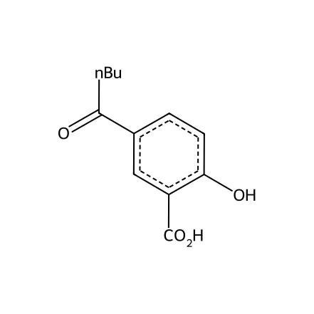 CCCCC(=O)c1ccc(O)c(C(=O)O)c1